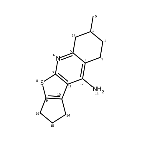 CC1CCc2c(nc3sc4c(c3c2N)CCC4)C1